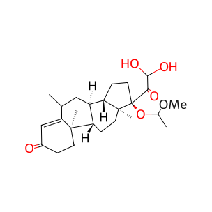 COC(C)O[C@]1(C(=O)C(O)O)CC[C@H]2[C@@H]3CC(C)C4=CC(=O)CC[C@]4(C)[C@H]3CC[C@@]21C